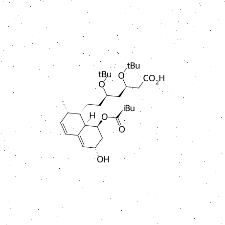 CC[C@H](C)C(=O)O[C@H]1C[C@H](O)C=C2C=C[C@H](C)[C@H](CC[C@H](C[C@H](CC(=O)O)OC(C)(C)C)OC(C)(C)C)[C@H]21